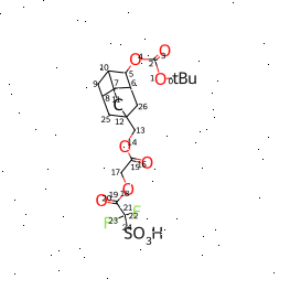 CC(C)(C)OC(=O)OC1C2CC3CC1CC(COC(=O)COC(=O)C(F)(F)S(=O)(=O)O)(C3)C2